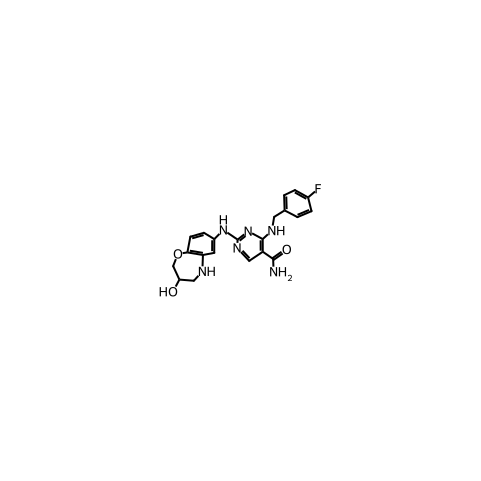 NC(=O)c1cnc(Nc2ccc3c(c2)NCC(O)CO3)nc1NCc1ccc(F)cc1